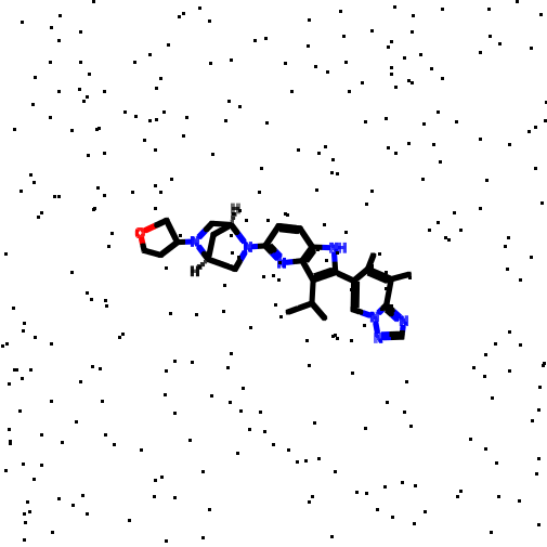 Cc1c(-c2[nH]c3ccc(N4C[C@@H]5C[C@H]4CN5C4CCOC4)nc3c2C(C)C)cn2ncnc2c1C